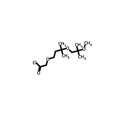 COC(C)(C)COC(C)(C)CCOCC(=O)Cl